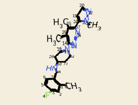 Cc1cc(F)ccc1CNC1CCN(c2nnc(-c3ccnn3C)c(C)c2C)CC1